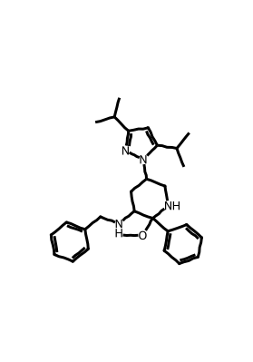 COC1(c2ccccc2)NCC(n2nc(C(C)C)cc2C(C)C)CC1NCc1ccccc1